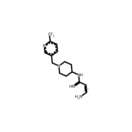 N=C(/C=C\N)NC1CCN(Cc2ccc(C(F)(F)F)nc2)CC1